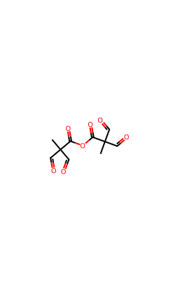 CC(C=O)(C=O)C(=O)OC(=O)C(C)(C=O)C=O